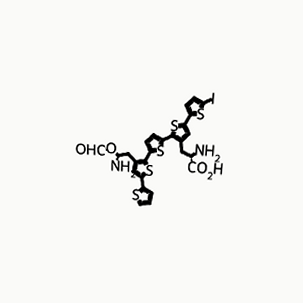 N[C@H](Cc1cc(-c2cccs2)sc1-c1ccc(-c2sc(-c3ccc(I)s3)cc2C[C@H](N)C(=O)O)s1)OC=O